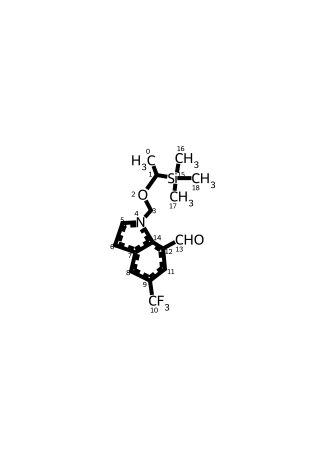 CC(OCn1ccc2cc(C(F)(F)F)cc(C=O)c21)[Si](C)(C)C